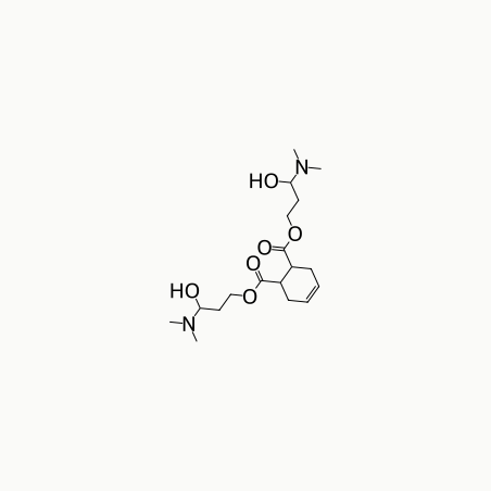 CN(C)C(O)CCOC(=O)C1CC=CCC1C(=O)OCCC(O)N(C)C